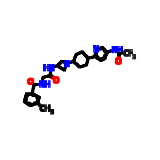 Cc1cccc(C(=O)NCC(=O)NC2CN(C3CCC(c4ccc(NC(=O)C(F)(F)F)cn4)CC3)C2)c1